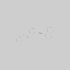 Cc1nc2cnc(N)c(C#Cc3cncc(C(=O)Nc4cccc(Cl)c4)c3)c2nc1C